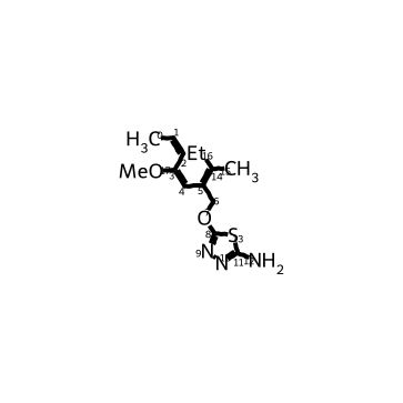 C\C=C/C(=C\C(COc1nnc(N)s1)=C(\C)CC)OC